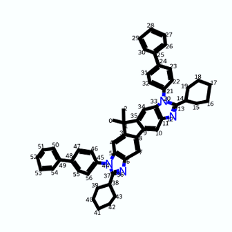 CC1(C)c2cc3c(cc2-c2cc4nc(C5CCCCC5)n(-c5ccc(-c6ccccc6)cc5)c4cc21)nc(C1CCCCC1)n3-c1ccc(-c2ccccc2)cc1